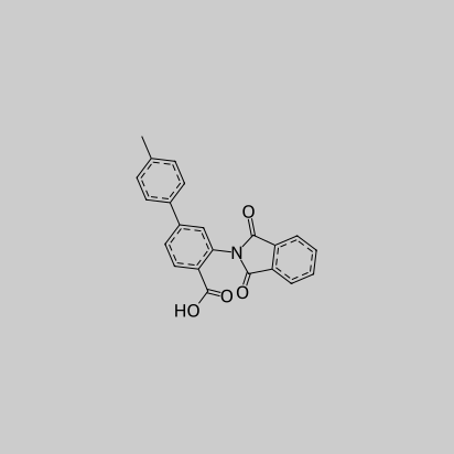 Cc1ccc(-c2ccc(C(=O)O)c(N3C(=O)c4ccccc4C3=O)c2)cc1